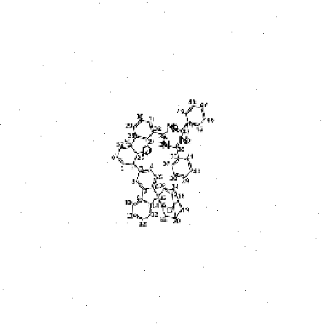 C1=CC(c2ccc3c(c2)-c2ccccc2C32C3CC4CC(C3)CC2C4)C2Oc3c(cccc3-c3nc(-c4ccccc4)nc(-c4ccccc4)n3)C2=C1